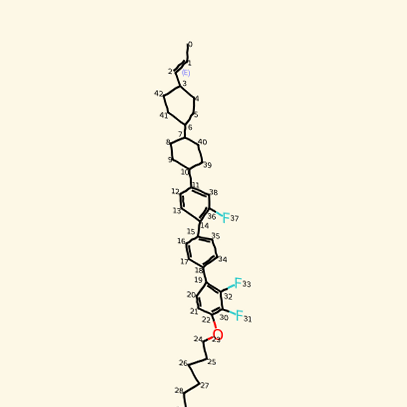 C/C=C/C1CCC(C2CCC(c3ccc(-c4ccc(-c5ccc(OCCCCCC)c(F)c5F)cc4)c(F)c3)CC2)CC1